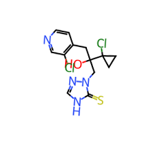 OC(Cc1ccncc1Cl)(Cn1nc[nH]c1=S)C1(Cl)CC1